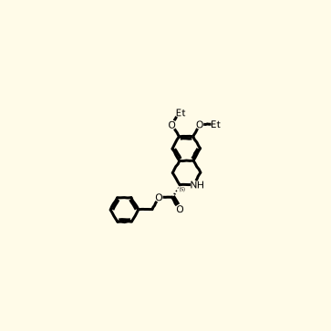 CCOc1cc2c(cc1OCC)C[C@@H](C(=O)OCc1ccccc1)NC2